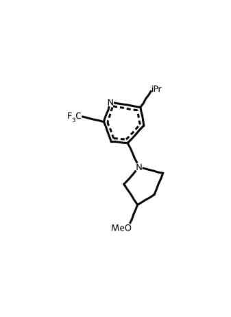 COC1CCN(c2cc(C(C)C)nc(C(F)(F)F)c2)C1